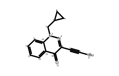 CC(C)(C)C#Cc1nn(CC2CC2)c2ccccc2c1=O